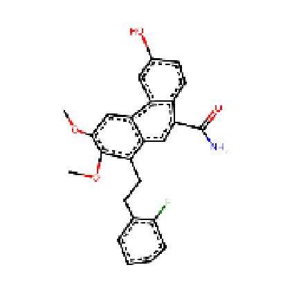 COc1cc2c(cc(C(N)=O)c3ccc(O)cc32)c(CCc2ccccc2F)c1OC